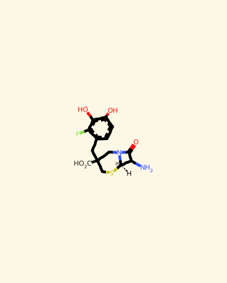 NC1C(=O)N2CC(Cc3ccc(O)c(O)c3F)(C(=O)O)CS[C@H]12